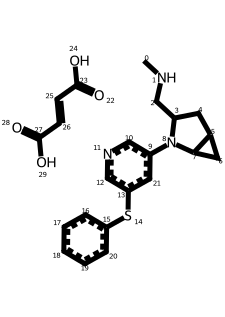 CNCC1CC2CC2N1c1cncc(Sc2ccccc2)c1.O=C(O)C=CC(=O)O